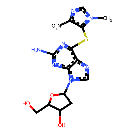 Cn1cnc([N+](=O)[O-])c1Sc1nc(N)nc2c1ncn2C1CC(O)C(CO)O1